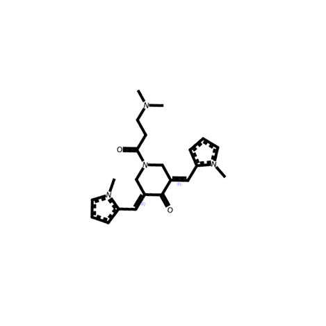 CN(C)CCC(=O)N1C/C(=C\c2cccn2C)C(=O)/C(=C/c2cccn2C)C1